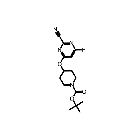 CC(C)(C)OC(=O)N1CCC(Oc2cc(F)nc(C#N)n2)CC1